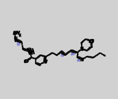 CCCC\N=C/C(=C\C=C\CCc1cc(C(=O)NC/C=N/N)ccn1)N1CCOCC1